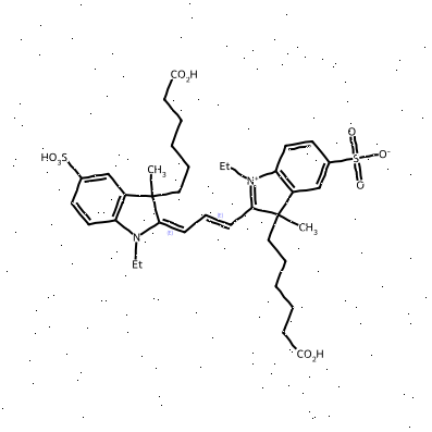 CCN1/C(=C/C=C/C2=[N+](CC)c3ccc(S(=O)(=O)[O-])cc3C2(C)CCCCCC(=O)O)C(C)(CCCCCC(=O)O)c2cc(S(=O)(=O)O)ccc21